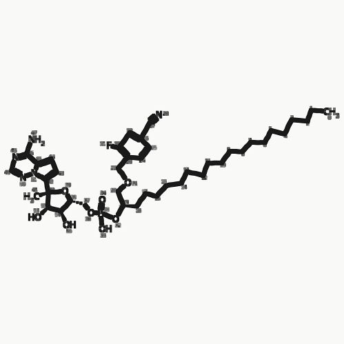 CCCCCCCCCCCCCCCCCCC[C@H](COCc1ccc(C#N)cc1F)OP(=O)(O)OC[C@H]1O[C@@](C)(c2ccc3c(N)ncnn23)[C@H](O)[C@@H]1O